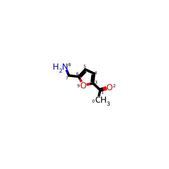 CC(=O)c1ccc(CN)o1